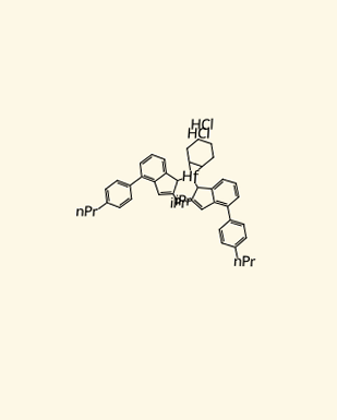 CCCc1ccc(-c2cccc3c2C=C(C(C)C)[CH]3[Hf]2([CH]3C(C(C)C)=Cc4c(-c5ccc(CCC)cc5)cccc43)[CH]3CCCC[CH]32)cc1.Cl.Cl